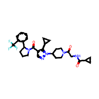 O=C(NCC(=O)N1CCC(n2ncc(C(=O)N3CCCC3c3ccccc3C(F)(F)F)c2C2CC2)CC1)C1CC1